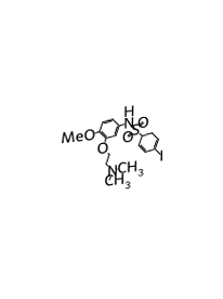 COc1ccc(NS(=O)(=O)C2C=CC(I)=CC2)cc1OCCN(C)C